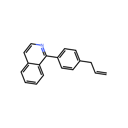 C=CCc1ccc(-c2nccc3ccccc23)cc1